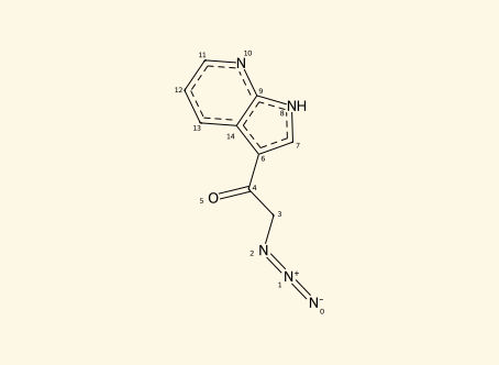 [N-]=[N+]=NCC(=O)c1c[nH]c2ncccc12